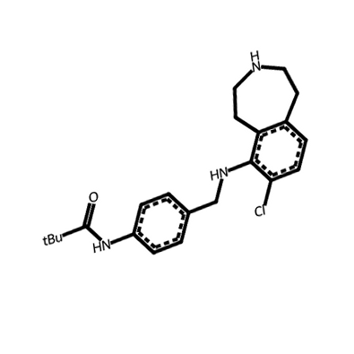 CC(C)(C)C(=O)Nc1ccc(CNc2c(Cl)ccc3c2CCNCC3)cc1